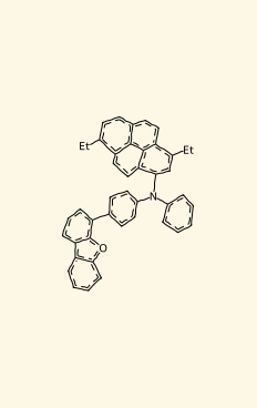 CCc1ccc2ccc3c(CC)cc(N(c4ccccc4)c4ccc(-c5cccc6c5oc5ccccc56)cc4)c4ccc1c2c34